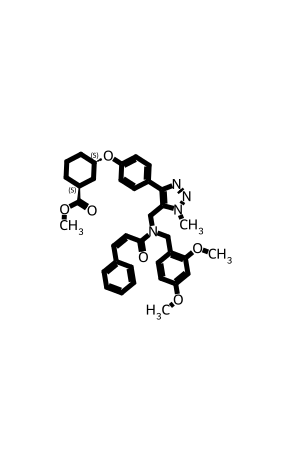 COC(=O)[C@H]1CCC[C@H](Oc2ccc(-c3nnn(C)c3CN(Cc3ccc(OC)cc3OC)C(=O)C=Cc3ccccc3)cc2)C1